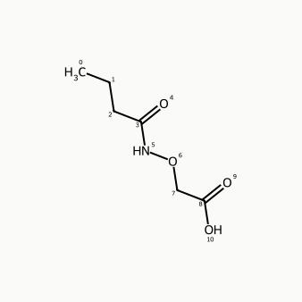 CCCC(=O)NOCC(=O)O